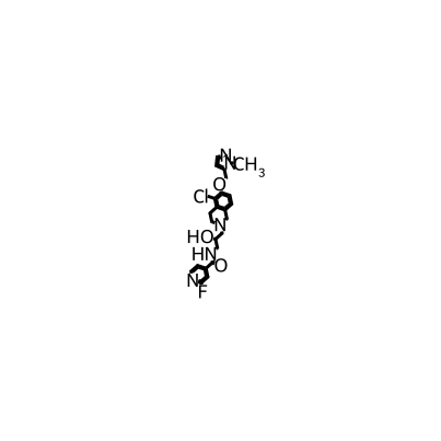 Cn1nccc1COc1ccc2c(c1Cl)CCN(CC(O)CNC(=O)c1ccnc(F)c1)C2